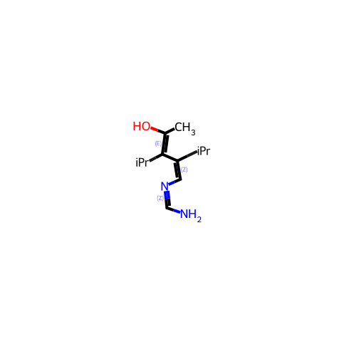 C\C(O)=C(/C(=C\N=C/N)C(C)C)C(C)C